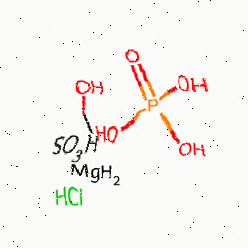 Cl.O=P(O)(O)O.O=S(=O)(O)O.[MgH2]